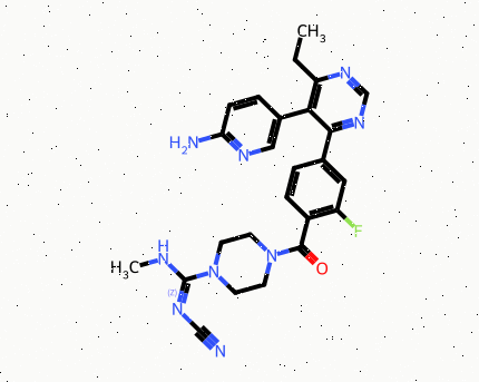 CCc1ncnc(-c2ccc(C(=O)N3CCN(/C(=N\C#N)NC)CC3)c(F)c2)c1-c1ccc(N)nc1